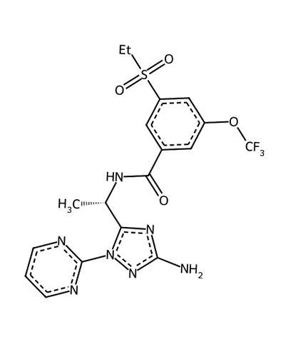 CCS(=O)(=O)c1cc(OC(F)(F)F)cc(C(=O)N[C@@H](C)c2nc(N)nn2-c2ncccn2)c1